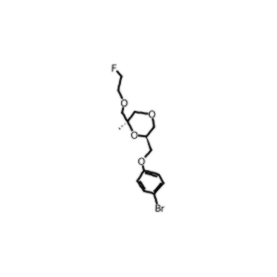 C[C@]1(COCCF)COC[C@@H](COc2ccc(Br)cc2)O1